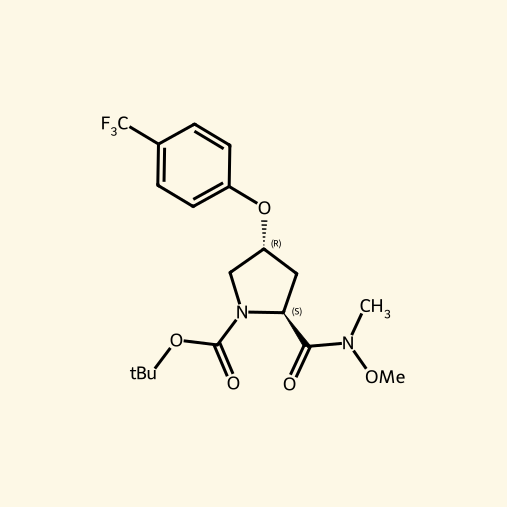 CON(C)C(=O)[C@@H]1C[C@@H](Oc2ccc(C(F)(F)F)cc2)CN1C(=O)OC(C)(C)C